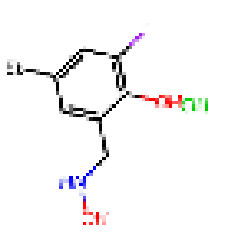 CCc1cc(I)c(O)c(CNO)c1.Cl